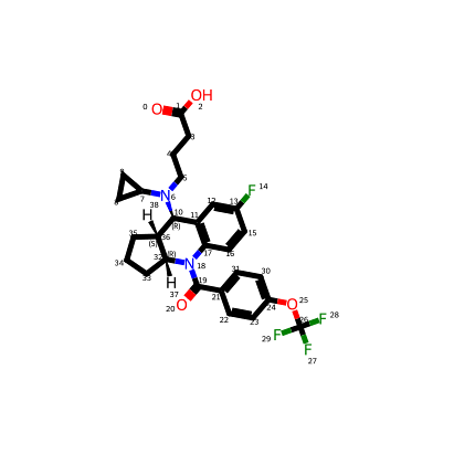 O=C(O)CCCN(C1CC1)[C@H]1c2cc(F)ccc2N(C(=O)c2ccc(OC(F)(F)F)cc2)[C@@H]2CCC[C@@H]21